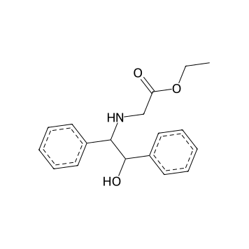 CCOC(=O)CNC(c1ccccc1)C(O)c1ccccc1